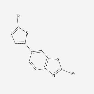 CC(C)c1ccc(-c2ccc3nc(C(C)C)sc3c2)s1